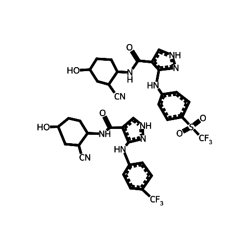 N#CC1CC(O)CCC1NC(=O)c1c[nH]nc1Nc1ccc(C(F)(F)F)cc1.N#CC1CC(O)CCC1NC(=O)c1c[nH]nc1Nc1ccc(S(=O)(=O)C(F)(F)F)cc1